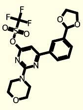 O=S(=O)(Oc1cc(-c2cccc(C3OCCO3)c2)nc(N2CCOCC2)n1)C(F)(F)F